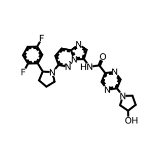 O=C(Nc1cnc2ccc(N3CCCC3c3cc(F)ccc3F)nn12)c1cnc(N2CCC(O)C2)cn1